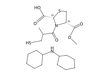 C1CCC(NC2CCCCC2)CC1.COC(=O)[C@H]1CS[C@@H](C(=O)O)N1C(=O)C(C)CS